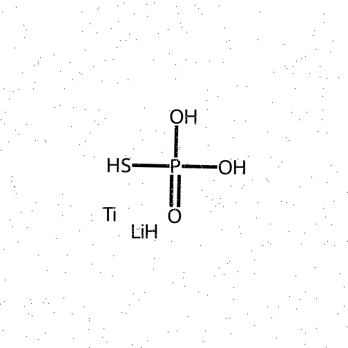 O=P(O)(O)S.[LiH].[Ti]